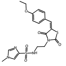 CCOc1ccc(C=C2SC(=O)N(CCNS(=O)(=O)c3cn(C)cn3)C2=O)cc1